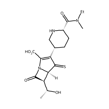 CCN(C)C(=O)[C@@H]1CC[C@H](C2=C(C(=O)O)N3C(=O)[C@H]([C@@H](C)O)[C@@H]3C2=S)CN1